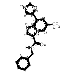 O=C(NCc1ccccc1)c1cnc2c(-c3cnco3)cc(C(F)(F)F)cn12